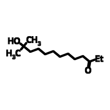 CCC(=O)CCCCCCCCC(C)(C)O